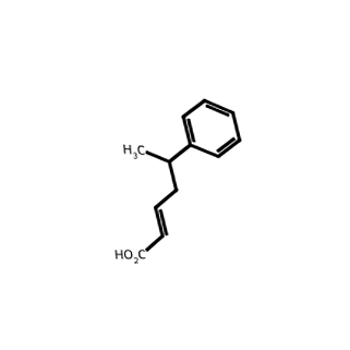 CC(CC=CC(=O)O)c1ccccc1